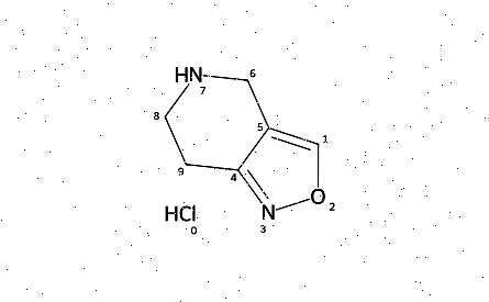 Cl.c1onc2c1CNCC2